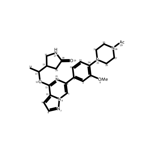 COc1cc(-c2cn3nccc3c(OC(C)C3CNC(=O)C3)n2)ccc1N1CCN(C(C)=O)CC1